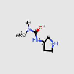 CCN(OC)C(=O)NC1CCNC1